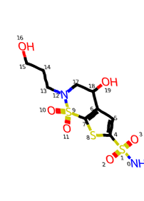 NS(=O)(=O)c1cc2c(s1)S(=O)(=O)N(CCCO)CC2O